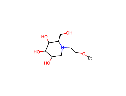 CCOCCN1CC(O)[C@@H](O)C(O)[C@H]1CO